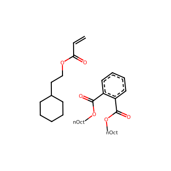 C=CC(=O)OCCC1CCCCC1.CCCCCCCCOC(=O)c1ccccc1C(=O)OCCCCCCCC